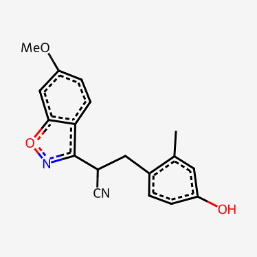 COc1ccc2c(C(C#N)Cc3ccc(O)cc3C)noc2c1